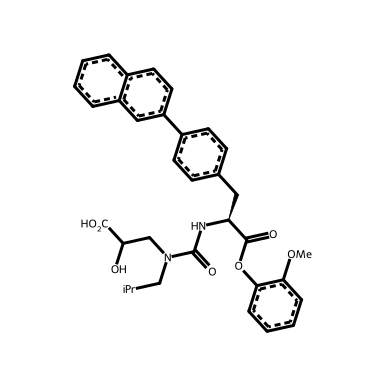 COc1ccccc1OC(=O)[C@H](Cc1ccc(-c2ccc3ccccc3c2)cc1)NC(=O)N(CC(C)C)CC(O)C(=O)O